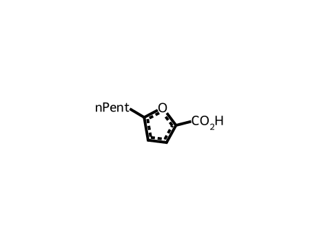 CCCCCc1ccc(C(=O)O)o1